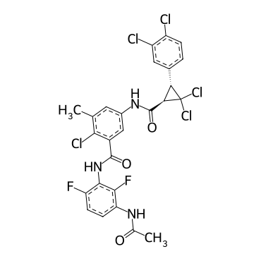 CC(=O)Nc1ccc(F)c(NC(=O)c2cc(NC(=O)[C@H]3[C@H](c4ccc(Cl)c(Cl)c4)C3(Cl)Cl)cc(C)c2Cl)c1F